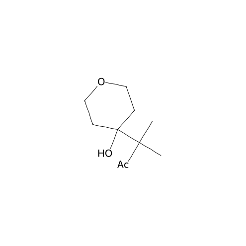 CC(=O)C(C)(C)C1(O)CCOCC1